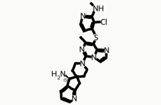 CNc1nccc(Sc2c(C)nc(N3CCC4(CC3)Cc3ncccc3[C@H]4N)n3ccnc23)c1Cl